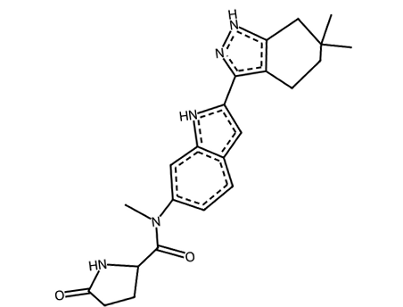 CN(C(=O)C1CCC(=O)N1)c1ccc2cc(-c3n[nH]c4c3CCC(C)(C)C4)[nH]c2c1